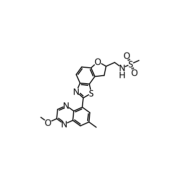 COc1cnc2c(-c3nc4ccc5c(c4s3)CC(CNS(C)(=O)=O)O5)cc(C)cc2n1